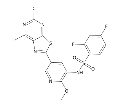 COc1ncc(-c2nc3c(C)nc(Cl)nc3s2)cc1NS(=O)(=O)c1ccc(F)cc1F